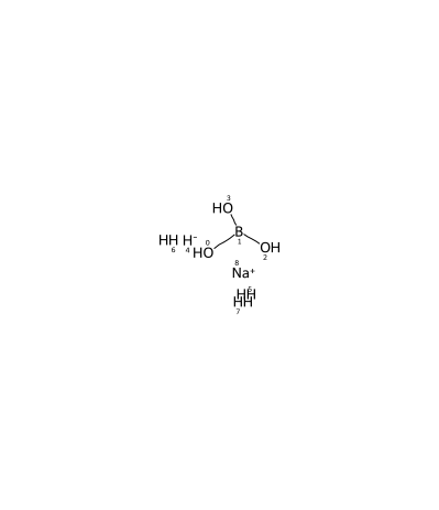 OB(O)O.[H-].[HH].[HH].[HH].[Na+]